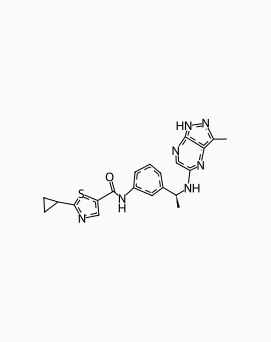 Cc1n[nH]c2ncc(N[C@@H](C)c3cccc(NC(=O)c4cnc(C5CC5)s4)c3)nc12